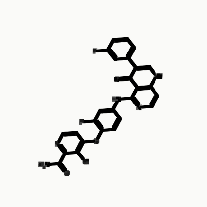 NC(=O)c1nccc(Oc2ccc(Nc3nccc4[nH]cc(-c5cccc(F)c5)c(=O)c34)cc2F)c1Cl